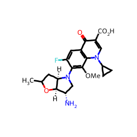 COc1c(N2C[C@H](N)[C@H]3OC(C)C[C@H]32)c(F)cc2c(=O)c(C(=O)O)cn(C3CC3)c12